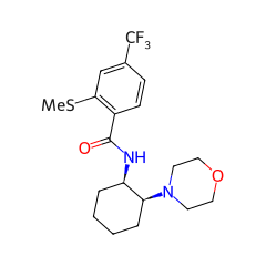 CSc1cc(C(F)(F)F)ccc1C(=O)N[C@@H]1CCCC[C@@H]1N1CCOCC1